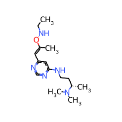 CCNO/C(C)=C/c1cc(NCC[C@H](C)N(C)C)ncn1